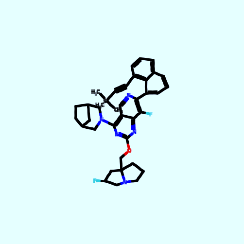 C[Si](C)(C)C#Cc1cccc2cccc(-c3ncc4c(N5CC6CCC(C6)C5)nc(OCC56CCCN5C[C@@H](F)C6)nc4c3F)c12